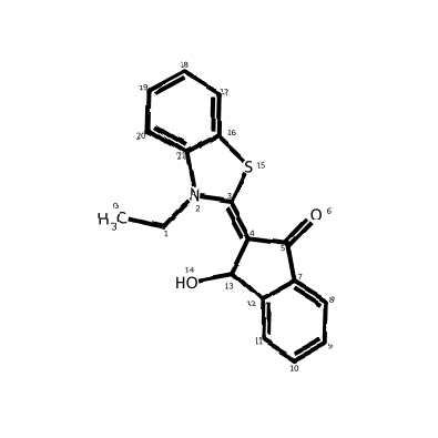 CCN1/C(=C2/C(=O)c3ccccc3C2O)Sc2ccccc21